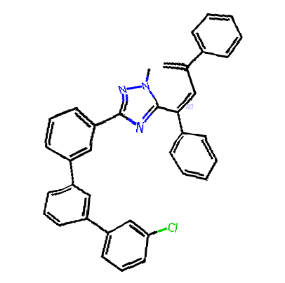 C=C(/C=C(/c1ccccc1)c1nc(-c2cccc(-c3cccc(-c4cccc(Cl)c4)c3)c2)nn1C)c1ccccc1